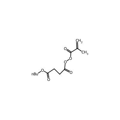 C=C(C)C(=O)OOC(=O)CCC(=O)OCCCC